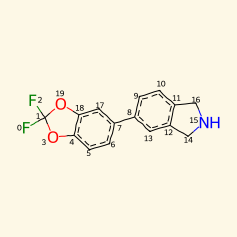 FC1(F)Oc2ccc(-c3ccc4c(c3)CNC4)cc2O1